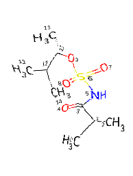 CC(C)C(=O)NS(=O)(=O)O[C@@H](C)C(C)C